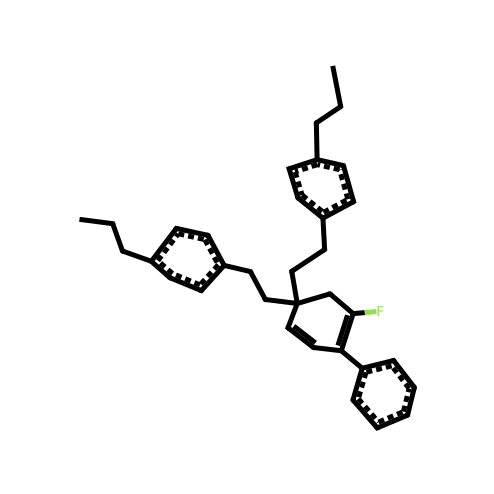 CCCc1ccc(CCC2(CCc3ccc(CCC)cc3)C=CC(c3ccccc3)=C(F)C2)cc1